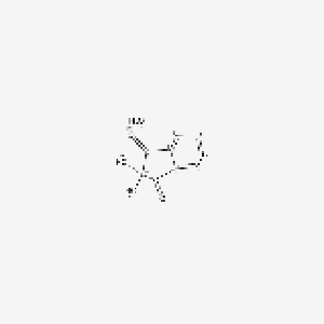 O.O=C1c2ccccc2C(=O)C1(O)O